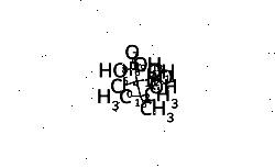 CC(C)(C)C(Cl)(P(=O)(O)O)P(=O)(O)O